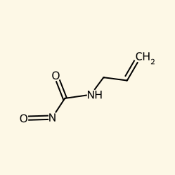 C=CCNC(=O)N=O